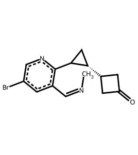 C/N=C\c1cc(Br)cnc1C1C[C@@H]1C1CC(=O)C1